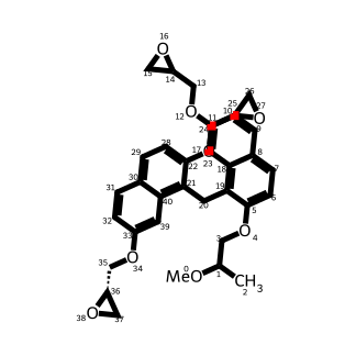 COC(C)COc1ccc2ccc(OCC3CO3)cc2c1Cc1c(OCC2CO2)ccc2ccc(OC[C@@H]3CO3)cc12